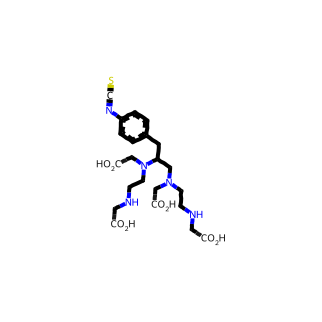 O=C(O)CNCCN(CC(=O)O)CC(Cc1ccc(N=C=S)cc1)N(CCNCC(=O)O)CC(=O)O